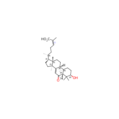 C/C(=C/CC[C@@H](C)[C@@H]1CC[C@]2(C)C3=CC(=O)[C@H]4C(C)(C)[C@H](O)CC[C@]4(C)[C@H]3CC[C@@]12C)C(=O)O